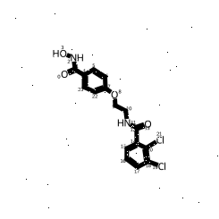 O=C(NO)c1ccc(OCCNC(=O)c2cccc(Cl)c2Cl)cc1